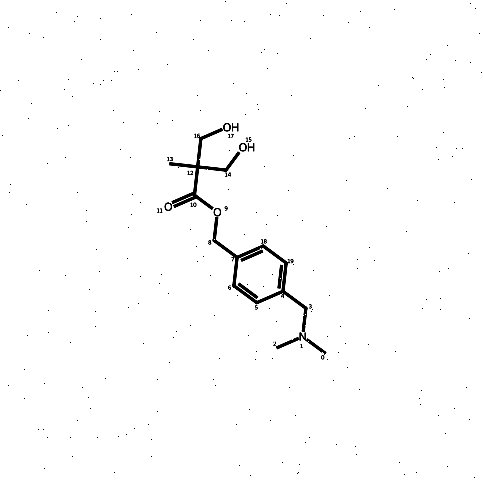 CN(C)Cc1ccc(COC(=O)C(C)(CO)CO)cc1